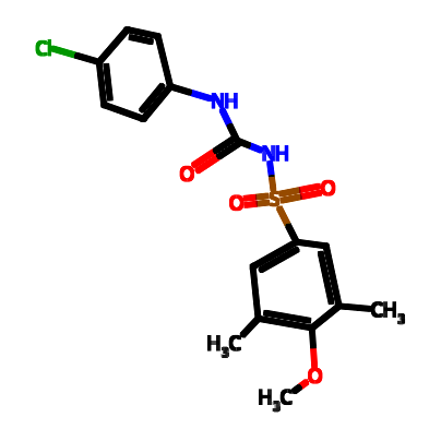 COc1c(C)cc(S(=O)(=O)NC(=O)Nc2ccc(Cl)cc2)cc1C